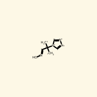 CC(C)(C=NO)n1cnnc1